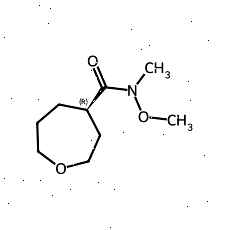 CON(C)C(=O)[C@@H]1CCCOCC1